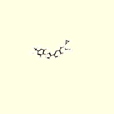 CCOCN(C(=O)c1cc(-c2cnn(-c3c(Cl)cc(C(F)(C(F)(F)F)C(F)(F)F)cc3Cl)c2)cnc1Cl)C1CC1